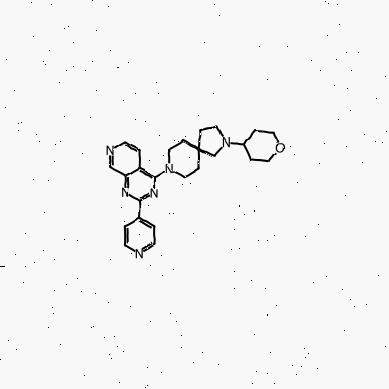 c1cc(-c2nc(N3CCC4(CC3)CCN(C3CCOCC3)C4)c3ccncc3n2)ccn1